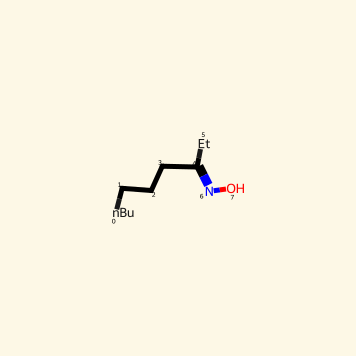 CCCCCCCC(CC)=NO